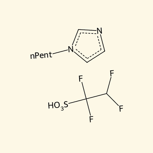 CCCCCn1ccnc1.O=S(=O)(O)C(F)(F)C(F)F